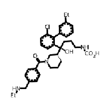 CCNCc1ccc(C(=O)N2CCC[C@@H]([C@@](O)(CCCNC(=O)O)c3cccc(Cl)c3-c3cccc(CC)c3)C2)cc1